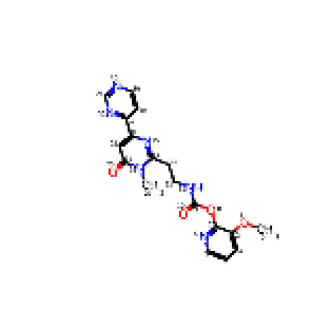 COc1cccnc1OC(=O)NCCc1nc(-c2ccncn2)cc(=O)n1C